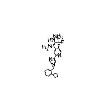 NN/C(=C(\N)c1ccnc(-c2cn(Cc3ccccc3Cl)cn2)c1)C(F)(F)F